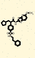 COc1ccc2nc(NC(=O)C(CC3CCCC3)c3ccc(S(=O)(=O)NCCc4ccccc4)cc3)sc2n1